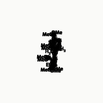 CCC(C(=O)N1CCCCC1C(=O)OC(CCc1ccc(OC)c(OC)c1)c1cccc(OCC(=O)OC(C)c2ccc(C(C)OC(=O)COc3cccc(C(CCc4ccc(OC)c(OC)c4)OC(=O)C4CCCCN4C(=O)C(CC)c4cc(OC)c(OC)c(OC)c4)c3)c([N+](=O)[O-])c2)c1)c1cc(OC)c(OC)c(OC)c1